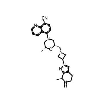 C[C@@H]1CN(c2ccc(C#N)c3ncccc23)C[C@H](CN2CC(n3cc4c(n3)[C@H](C)NCC4)C2)O1